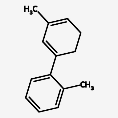 CC1=CCCC(c2ccccc2C)=C1